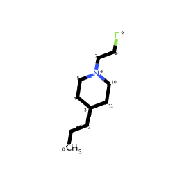 CCCC1CCN(CCF)CC1